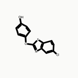 Oc1ccc(Oc2nc3cc(Cl)ccc3s2)cc1